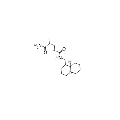 CC(C[CH]C(=O)NCC1CCCN2CCCC[C@@H]12)C(N)=O